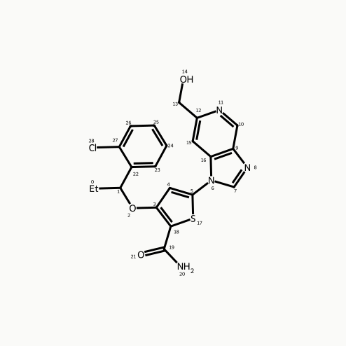 CCC(Oc1cc(-n2cnc3cnc(CO)cc32)sc1C(N)=O)c1ccccc1Cl